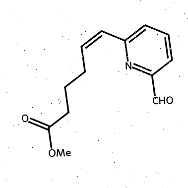 COC(=O)CCC/C=C\c1cccc(C=O)n1